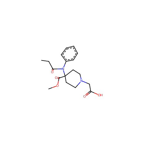 CCC(=O)N(c1ccccc1)C1(C(=O)OC)CCN(CC(=O)O)CC1